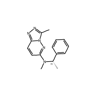 Cc1nnc2ccc(N(C)[C@@H](C)c3ccccc3)nn12